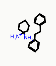 NC1(N)CCCCC1.c1ccc(CCc2ccccc2)cc1